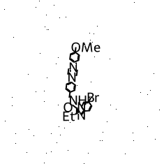 CCc1nc2ccc(Br)cn2c1C(=O)NCc1ccc(N2CCN(c3ccc(OC)cc3)CC2)cc1